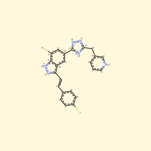 Fc1ccc(C=Cc2n[nH]c3c(F)cc(-c4nnc(Cc5cccnc5)[nH]4)cc23)cc1